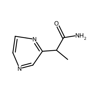 CC(C(N)=O)c1cnccn1